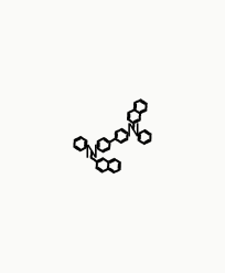 c1ccc(N(Cc2ccc3ccccc3c2)c2ccc(-c3ccc(N(c4ccccc4)c4ccc5ccccc5c4)cc3)cc2)cc1